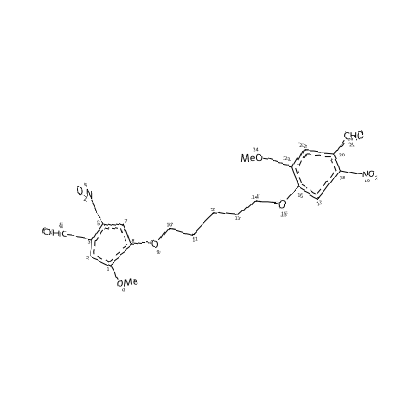 COc1cc(C=O)c([N+](=O)[O-])cc1OCCCCCOc1cc([N+](=O)[O-])c(C=O)cc1OC